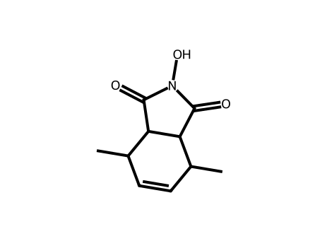 CC1C=CC(C)C2C(=O)N(O)C(=O)C12